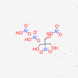 O=CC(CO)(CO)[N+](=O)[O-].O=[N+]([O-])O.O=[N+]([O-])O.O=[N+]([O-])O